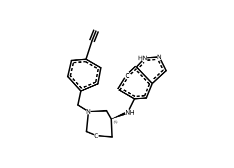 C#Cc1ccc(CN2CCC[C@H](Nc3ccc4[nH]ncc4c3)C2)cc1